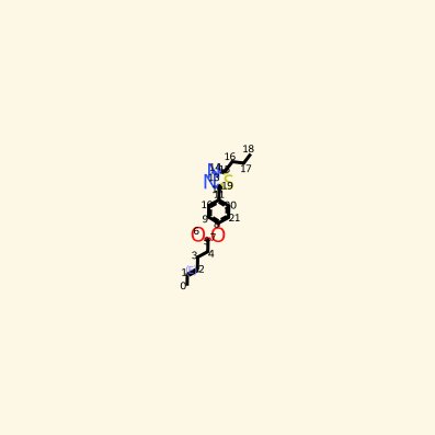 C/C=C/CCC(=O)Oc1ccc(-c2nnc(CCC)s2)cc1